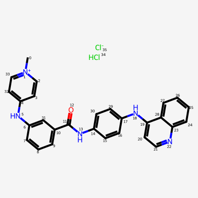 C[n+]1ccc(Nc2cccc(C(=O)Nc3ccc(Nc4ccnc5ccccc45)cc3)c2)cc1.Cl.[Cl-]